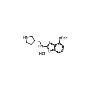 CCCCCCCCCCc1cccc2oc(NC[C@@H]3CCNC3)nc12.Cl